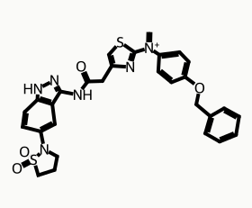 C=[N+](c1ccc(OCc2ccccc2)cc1)c1nc(CC(=O)Nc2n[nH]c3ccc(N4CCCS4(=O)=O)cc23)cs1